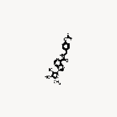 C[C@H]1O[C@@H](n2cnc3c(C(=O)NCc4ccc(OC(F)F)cc4)ncnc32)[C@H](O)[C@@H]1O